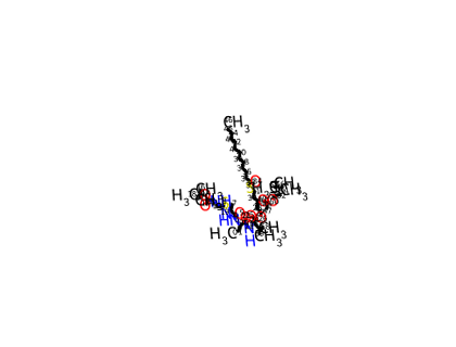 C/C=C(\NC(=O)c1csc(CNC(=O)OC(C)(C)C)n1)C(=O)NC(C(=O)O[C@H](/C=C/CCSC(=O)CCCCCCCCCCCC)CC(=O)OCC[Si](C)(C)C)C(C)C